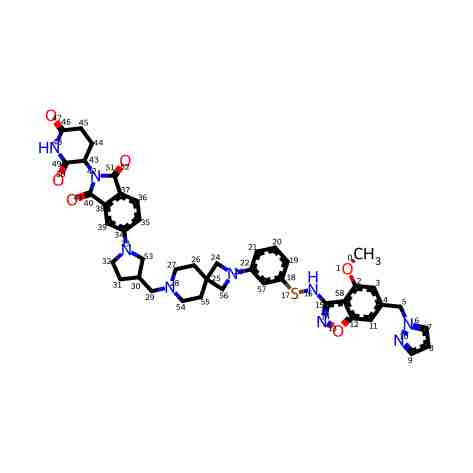 COc1cc(Cn2cccn2)cc2onc(NSc3cccc(N4CC5(CCN(CC6CCN(c7ccc8c(c7)C(=O)N(C7CCC(=O)NC7=O)C8=O)C6)CC5)C4)c3)c12